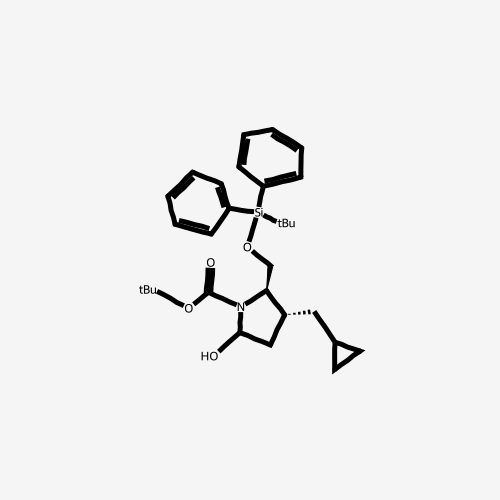 CC(C)(C)OC(=O)N1C(O)C[C@@H](CC2CC2)[C@@H]1CO[Si](c1ccccc1)(c1ccccc1)C(C)(C)C